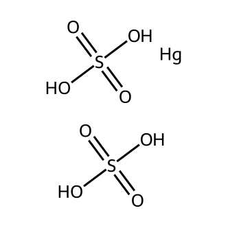 O=S(=O)(O)O.O=S(=O)(O)O.[Hg]